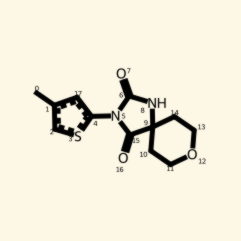 Cc1csc(N2C(=O)NC3(CCOCC3)C2=O)c1